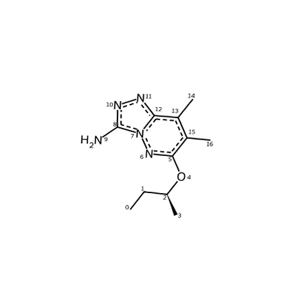 CC[C@H](C)Oc1nn2c(N)nnc2c(C)c1C